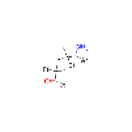 CCC(=O)C(C)(CC)CC(C)(CC)C(N)C(C)=O